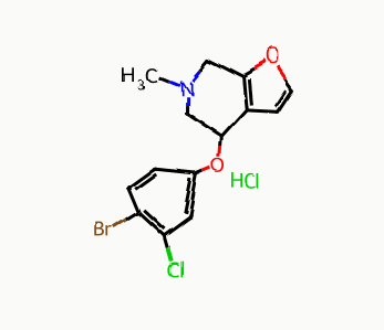 CN1Cc2occc2C(Oc2ccc(Br)c(Cl)c2)C1.Cl